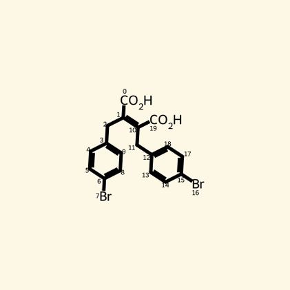 O=C(O)C(Cc1ccc(Br)cc1)=C(Cc1ccc(Br)cc1)C(=O)O